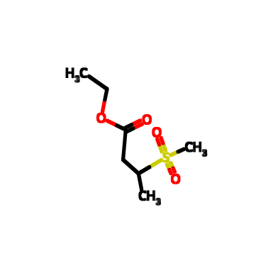 CCOC(=O)CC(C)S(C)(=O)=O